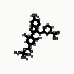 Cc1ccn2c(CC3CN(C(=O)O)CCO3)c(-c3c(F)cc(C(=O)OC(C)(C)C)cc3F)nc2c1